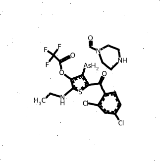 CCNc1sc(C(=O)c2ccc(Cl)cc2Cl)c([AsH2])c1OC(=O)C(F)(F)F.O=CN1CCNCC1